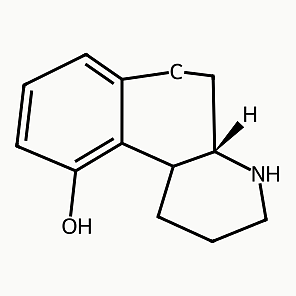 Oc1cccc2c1C1CCCN[C@H]1CC2